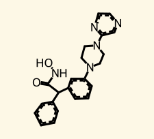 O=C(NO)C(c1ccccc1)c1cccc(N2CCN(c3cnccn3)CC2)c1